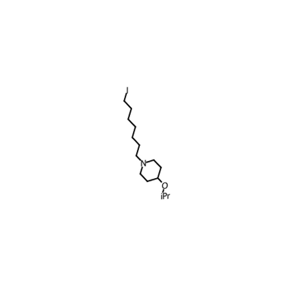 CC(C)OC1CCN(CCCCCCCI)CC1